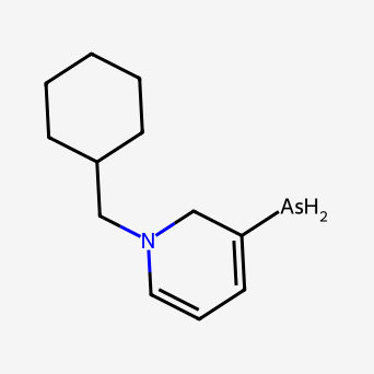 [AsH2]C1=CC=CN(CC2CCCCC2)C1